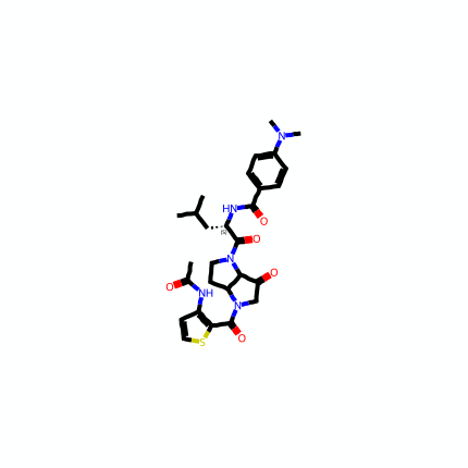 CC(=O)Nc1ccsc1C(=O)N1CC(=O)C2C1CCN2C(=O)[C@H](CC(C)C)NC(=O)c1ccc(N(C)C)cc1